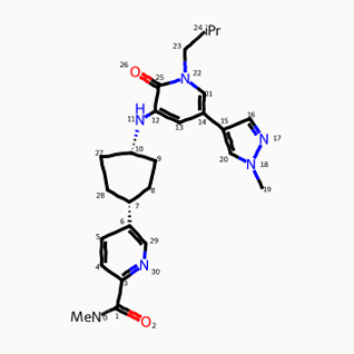 CNC(=O)c1ccc([C@H]2CC[C@@H](Nc3cc(-c4cnn(C)c4)cn(CC(C)C)c3=O)CC2)cn1